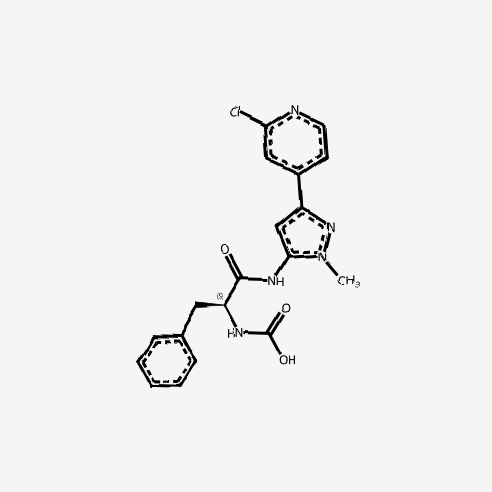 Cn1nc(-c2ccnc(Cl)c2)cc1NC(=O)[C@H](Cc1ccccc1)NC(=O)O